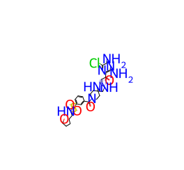 Nc1nc(N)c(C(=O)/C=C2\NCC3(CCN(C(=O)c4cccc(S(=O)(=O)NCC5CCCO5)c4)CC3)N2)nc1Cl